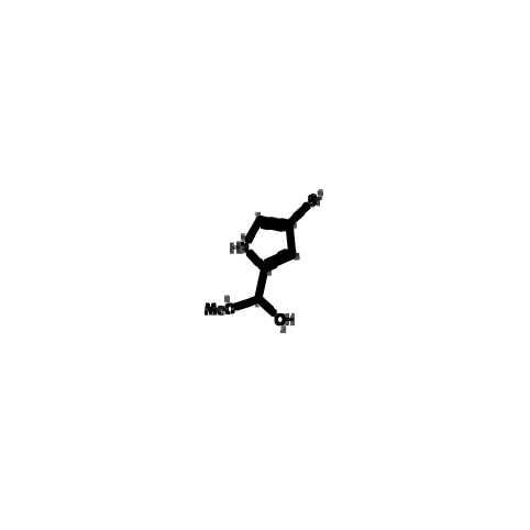 COC(O)c1cc(Br)c[nH]1